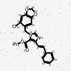 CC(C)OC(=O)c1c(C=Cc2ccccc2)ncn1Cc1cc2c(cc1Cl)OCO2